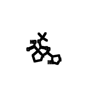 CC(C)(C)OC(=O)[C@@]1(C(=O)O)CCCN1C(=O)C1CSCN1